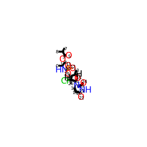 CC(COC(=O)C(C)C)NP1(=O)OC[C@H]2O[C@@H](n3ccc(=O)[nH]c3=O)[C@](C)(Cl)[C@@H]2O1